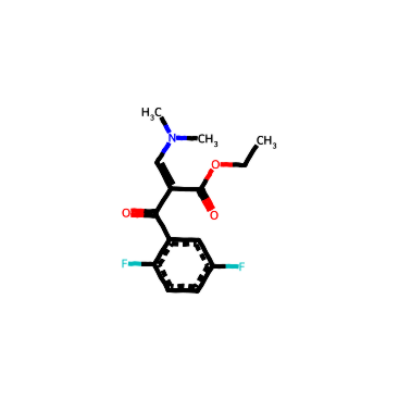 CCOC(=O)C(=CN(C)C)C(=O)c1cc(F)ccc1F